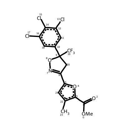 COC(=O)c1oc(C2=NOC(c3cc(Cl)c(Cl)c(Cl)c3)(C(F)(F)F)C2)cc1C